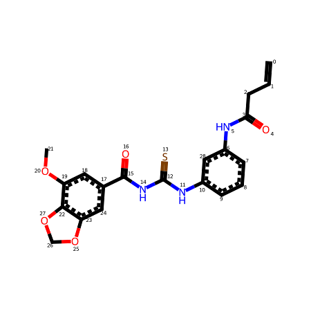 C=CCC(=O)Nc1cccc(NC(=S)NC(=O)c2cc(OC)c3c(c2)OCO3)c1